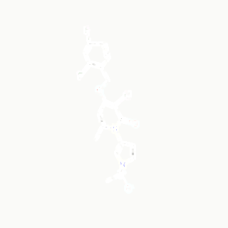 Cc1cc(OCc2ccc(F)cc2F)c(Cl)c(=O)n1-c1ccn([S+](C)[O-])c1